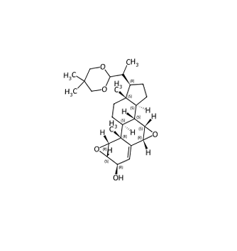 CC(C1OCC(C)(C)CO1)[C@H]1CC[C@H]2[C@@H]3[C@@H]4O[C@@H]4C4=C[C@@H](O)[C@@H]5O[C@@H]5[C@]4(C)[C@H]3CC[C@]12C